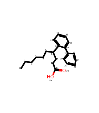 CCCCCCC(CCC(=O)O)c1ccccc1-c1ccccc1